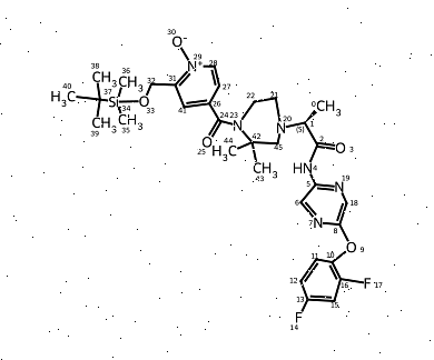 C[C@@H](C(=O)Nc1cnc(Oc2ccc(F)cc2F)cn1)N1CCN(C(=O)c2cc[n+]([O-])c(CO[Si](C)(C)C(C)(C)C)c2)C(C)(C)C1